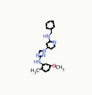 COc1ccc(C)c(Nc2ncn(-c3ccnc(NCc4ccccc4)c3)n2)c1